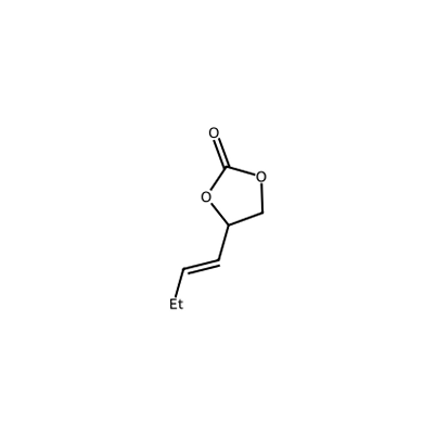 CC/C=C/C1COC(=O)O1